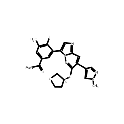 CNC(=O)c1cc(C)c(F)c(-c2cnc3cc(-c4cnn(C)c4)c(O[C@H]4CCOC4)nn23)c1